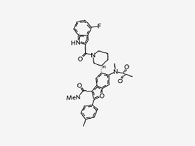 CNC(=O)c1c(-c2ccc(C)cc2)oc2cc(N(C)S(C)(=O)=O)c([C@H]3CCCN(C(=O)c4cc5c(F)cccc5[nH]4)C3)cc12